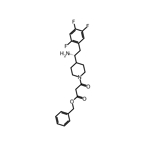 N[C@H](Cc1cc(F)c(F)cc1F)C1CCN(C(=O)CC(=O)OCc2ccccc2)CC1